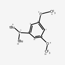 CC(C)(C)P(c1cc(OC(F)(F)F)cc(OC(F)(F)F)c1)C(C)(C)C